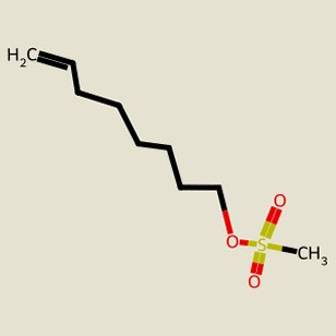 C=CCCCCCCOS(C)(=O)=O